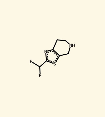 FC(F)c1nc2c(s1)CNCC2